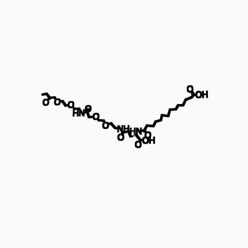 CCC(=O)COCCOCCNC(=O)COCCOCCNC(=O)CC[C@H](NC(=O)CCCCCCCCCCCCC(=O)O)C(=O)O